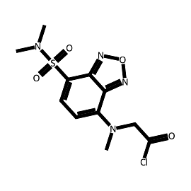 CN(CC(=O)Cl)c1ccc(S(=O)(=O)N(C)C)c2nonc12